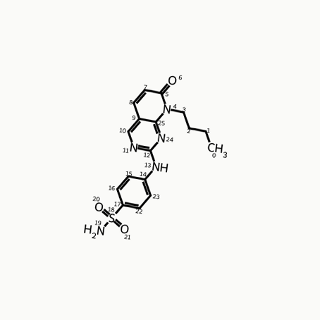 CCCCn1c(=O)ccc2cnc(Nc3ccc(S(N)(=O)=O)cc3)nc21